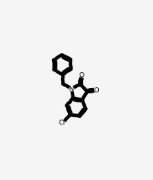 O=C1C(=O)N(Cc2ccccc2)c2cc(Cl)ccc21